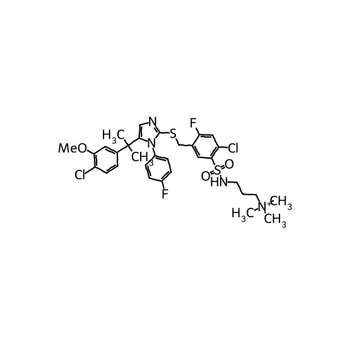 COc1cc(C(C)(C)c2cnc(SCc3cc(S(=O)(=O)NCCC[N+](C)(C)C)c(Cl)cc3F)n2-c2ccc(F)cc2)ccc1Cl